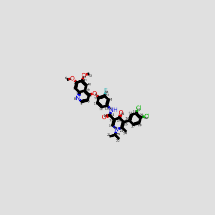 COc1cc2nccc(Oc3ccc(NC(=O)c4cn(C(C)C)c(C)c(-c5ccc(Cl)c(Cl)c5)c4=O)cc3F)c2cc1OC